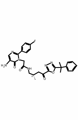 C[C@H](CNC(=O)Cn1c(-c2ccc(F)cc2)ncc(N)c1=O)CC(=O)c1nnc(C(C)(C)c2ccccc2)o1